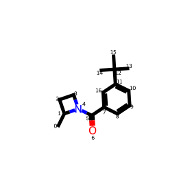 CC1CCN1C(=O)c1cccc(C(C)(C)C)c1